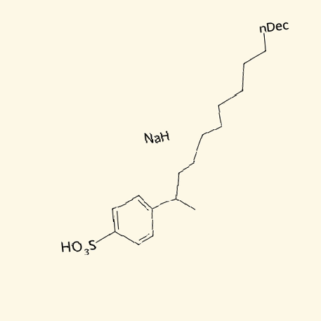 CCCCCCCCCCCCCCCCCCC(C)c1ccc(S(=O)(=O)O)cc1.[NaH]